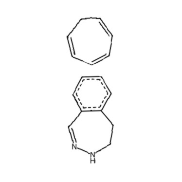 C1=CC=CCC=C1.C1=NNCCc2ccccc21